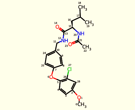 COc1ccc(Oc2ccc(CNC(=O)[C@@H](CC(C)C)NC(C)=O)cc2)c(Cl)c1